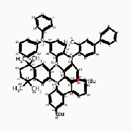 Cc1cc(-c2ccccc2)ccc1N1c2ccc(N(c3ccccc3)c3ccccc3)cc2B2c3cc4c(cc3N(c3ccc(C(C)(C)C)cc3-c3ccccc3)c3cc(C(C)(C)C)cc1c32)C(C)(C)CCC4(C)C